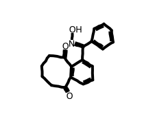 O=C1CCCCC(=O)c2c1cccc2C(=NO)c1ccccc1